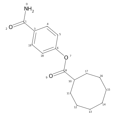 NC(=O)c1ccc(OC(=O)C2CCCCCCC2)cc1